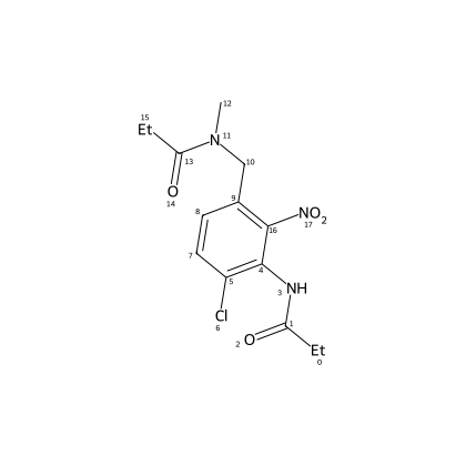 CCC(=O)Nc1c(Cl)ccc(CN(C)C(=O)CC)c1[N+](=O)[O-]